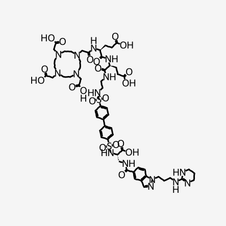 O=C(O)CC[C@H](NC(=O)CN1CCN(CC(=O)O)CCN(CC(=O)O)CCN(CC(=O)O)CC1)C(=O)N[C@@H](CCC(=O)O)C(=O)NCCNS(=O)(=O)c1ccc(-c2ccc(S(=O)(=O)N[C@@H](CNC(=O)c3ccc4c(cnn4CCCNC4=NCCCN4)c3)C(=O)O)cc2)cc1